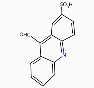 O=Cc1c2ccccc2nc2ccc(S(=O)(=O)O)cc12